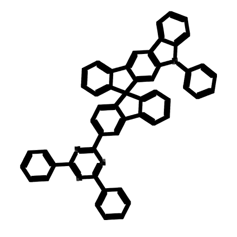 c1ccc(-c2nc(-c3ccccc3)nc(-c3ccc4c(c3)-c3ccccc3C43c4ccccc4-c4cc5c6ccccc6n(-c6ccccc6)c5cc43)n2)cc1